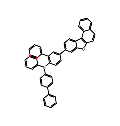 c1ccc(-c2ccc(N(c3ccccc3)c3ccc(-c4ccc5c(c4)oc4ccc6ccccc6c45)cc3-c3ccccc3)cc2)cc1